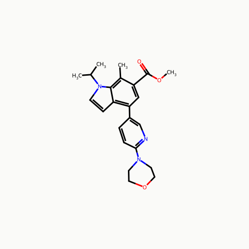 COC(=O)c1cc(-c2ccc(N3CCOCC3)nc2)c2ccn(C(C)C)c2c1C